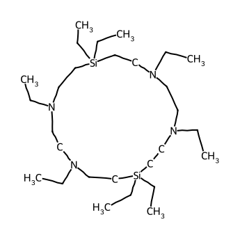 CCN1CCN(CC)CC[Si](CC)(CC)CCN(CC)CCN(CC)CC[Si](CC)(CC)CC1